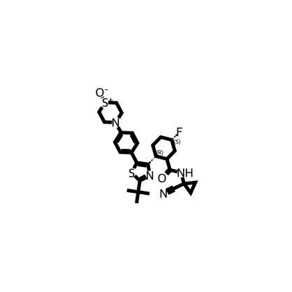 CC(C)(C)c1nc([C@@H]2CC[C@H](F)CC2C(=O)NC2(C#N)CC2)c(-c2ccc(N3CC[S+]([O-])CC3)cc2)s1